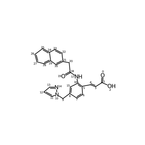 O=C(O)/C=C/c1ccc(Cn2cccn2)cc1NC(=O)Cc1ccc2ccccc2c1